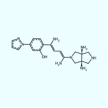 N/C(=C\C=C(/N)N1C[C@]2(N)CNC[C@]2(N)C1)c1ccc(-n2cccn2)cc1O